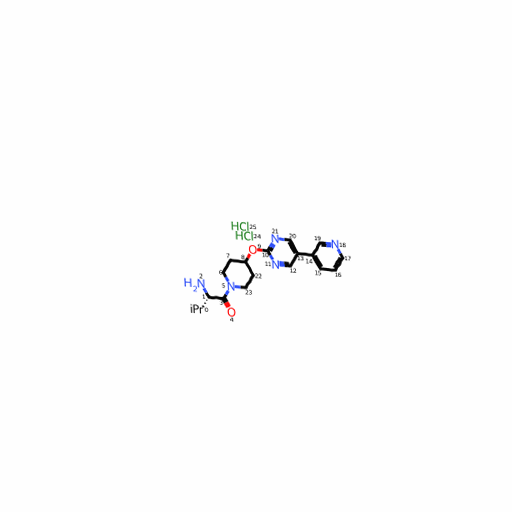 CC(C)[C@H](N)C(=O)N1CCC(Oc2ncc(-c3cccnc3)cn2)CC1.Cl.Cl